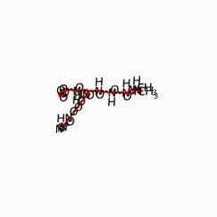 CC(C)=NNc1ccc(C(=O)NCCCCCC(=O)NCCCCCC(=O)NCCCC[C@H](CC(=O)CCC(=O)NCCCCCC(=O)ON2C(=O)CCC2=O)C(=O)NCCCOCCOCCOCCCNC(=O)CCCN=[N+]=[N-])cn1